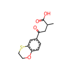 CC(CC(=O)c1ccc2c(c1)SCCO2)C(=O)O